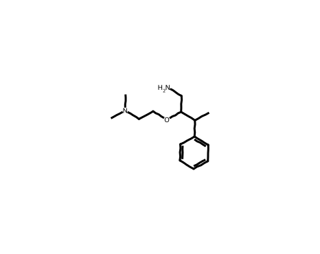 CC(c1ccccc1)C(CN)OCCN(C)C